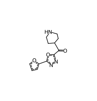 O=C(c1nnc(-c2ccco2)o1)C1CCNCC1